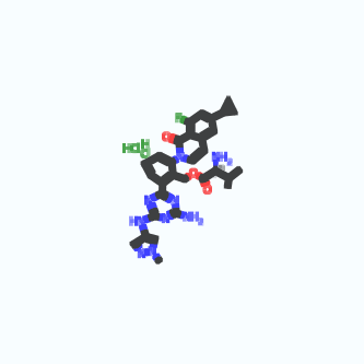 CC(C)[C@H](N)C(=O)OCc1c(-c2nc(N)nc(Nc3cnn(C)c3)n2)cccc1-n1ccc2cc(C3CC3)cc(F)c2c1=O.Cl.Cl